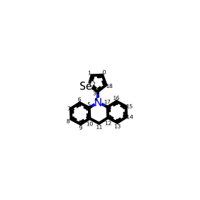 c1c[se]c(N2c3ccccc3Cc3ccccc32)c1